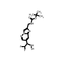 CC(C)(C)OC(=O)NCc1cn2ncc(C(NS)C(F)F)cc2n1